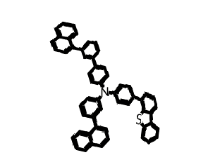 c1cc(-c2ccc(N(c3ccc(-c4cccc5c4sc4ccccc45)cc3)c3cccc(-c4cccc5ccccc45)c3)cc2)cc(-c2cccc3ccccc23)c1